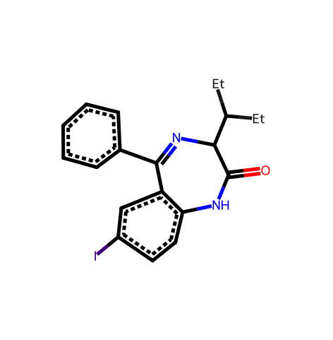 CCC(CC)C1N=C(c2ccccc2)c2cc(I)ccc2NC1=O